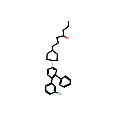 CCCC(O)CCC[C@H]1CC[C@H](c2ccc(-c3cccc(Cl)c3)c(-c3ccccc3)c2)CC1